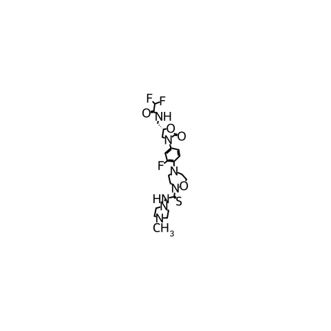 CN1CCN(NC(=S)N2CCN(c3ccc(N4C[C@H](CNC(=O)C(F)F)OC4=O)cc3F)CCO2)CC1